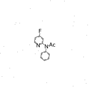 CC(=O)N(c1ccccc1)c1cc(F)ccn1